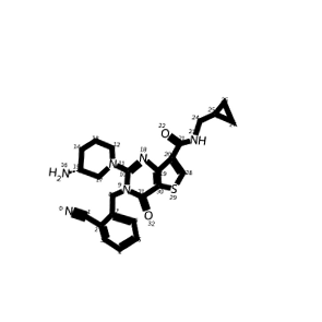 N#Cc1ccccc1Cn1c(N2CCC[C@@H](N)C2)nc2c(C(=O)NCC3CC3)csc2c1=O